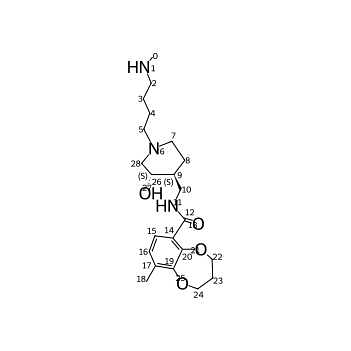 CNCCCCN1CC[C@@H](CNC(=O)c2ccc(C)c3c2OCCCO3)[C@H](O)C1